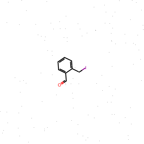 O=Cc1ccccc1CI